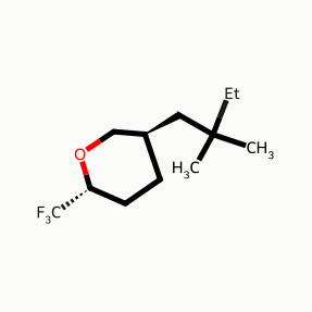 CCC(C)(C)C[C@H]1CC[C@H](C(F)(F)F)OC1